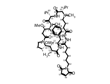 CC[C@H](C)[C@@H]([C@@H](CC(=O)N1CCC[C@H]1[C@H](OC)[C@@H](C)C(=O)NCCc1ccccc1)OC)N(C)C(=O)[C@@H](NC(=O)[C@H](C(C)C)N(C)CCCC(=O)NNC(=O)CCCCCN1C(=O)C=CC1=O)C(C)C